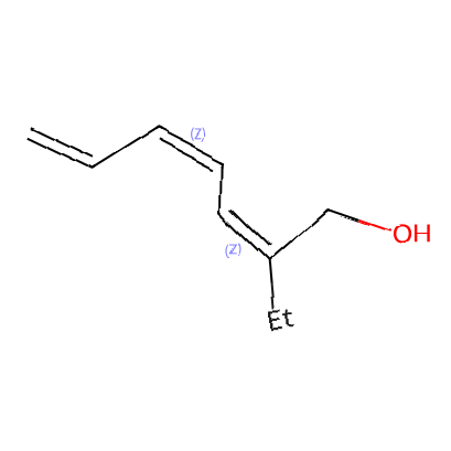 C=C/C=C\C=C(\CC)CO